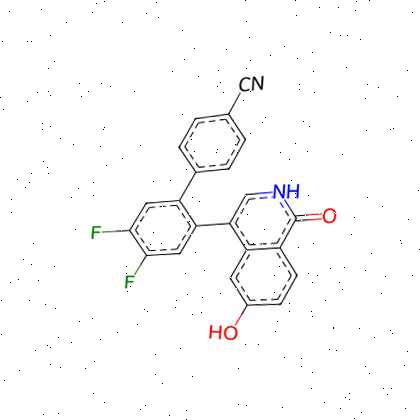 N#Cc1ccc(-c2cc(F)c(F)cc2-c2c[nH]c(=O)c3ccc(O)cc23)cc1